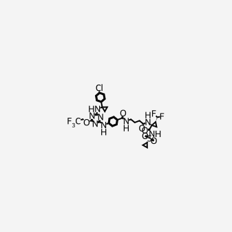 O=C(CCCNC(=O)c1ccc(Nc2nc(NC3(c4ccc(Cl)cc4)CC3)nc(OCC(F)(F)F)n2)cc1)N[C@]1(C(=O)NS(=O)(=O)C2CC2)C[C@H]1C(F)F